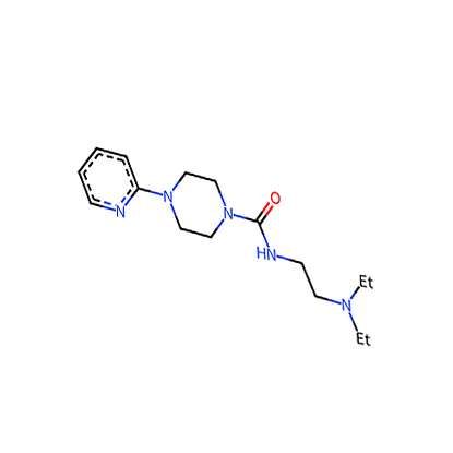 CCN(CC)CCNC(=O)N1CCN(c2ccccn2)CC1